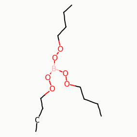 CCCCOOB(OOCCCC)OOCCCC